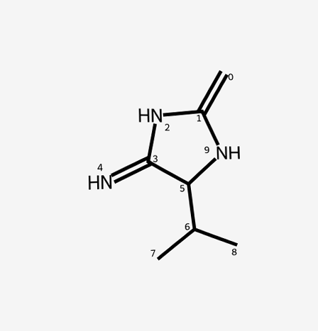 C=C1NC(=N)C(C(C)C)N1